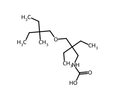 CCC(C)(CC)COCC(CC)(CC)CNC(=O)O